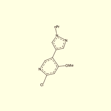 CCCn1cc(-c2cnc(Cl)cc2OC)cn1